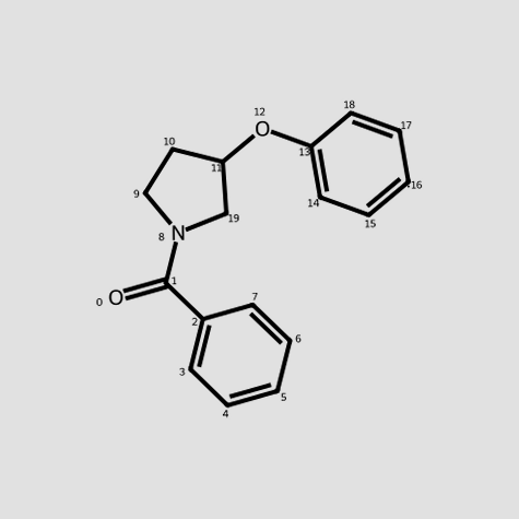 O=C(c1ccccc1)N1CCC(Oc2cc[c]cc2)C1